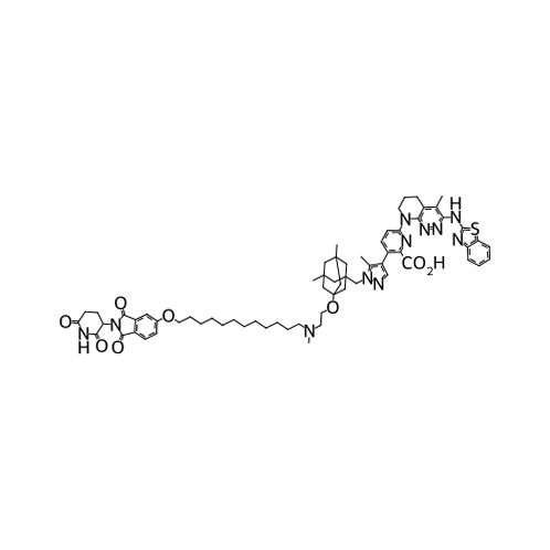 Cc1c(Nc2nc3ccccc3s2)nnc2c1CCCN2c1ccc(-c2cnn(CC34CC5(C)CC(C)(C3)CC(OCCN(C)CCCCCCCCCCCCOc3ccc6c(c3)C(=O)N(C3CCC(=O)NC3=O)C6=O)(C5)C4)c2C)c(C(=O)O)n1